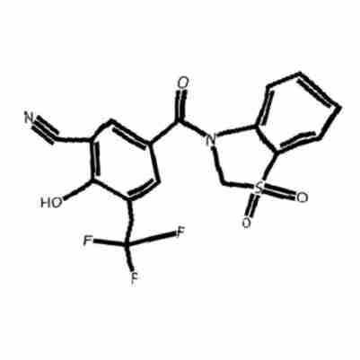 N#Cc1cc(C(=O)N2CS(=O)(=O)c3ccccc32)cc(C(F)(F)F)c1O